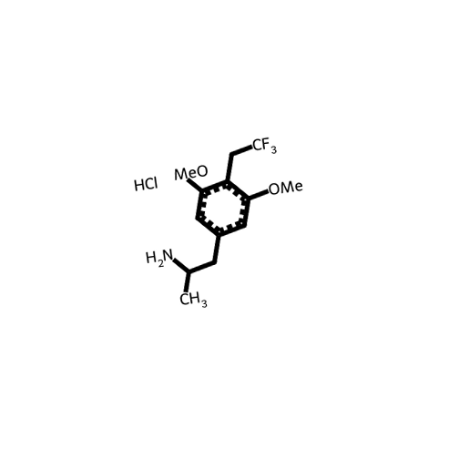 COc1cc(CC(C)N)cc(OC)c1CC(F)(F)F.Cl